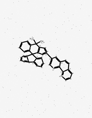 CC1(C)c2ccccc2C2(c3ccccc3-c3ccccc32)c2cc(-c3cnc4c(ccc5cccnc54)c3)ccc21